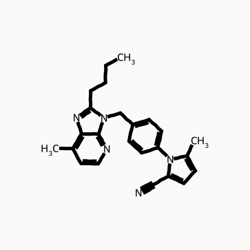 CCCCc1nc2c(C)ccnc2n1Cc1ccc(-n2c(C)ccc2C#N)cc1